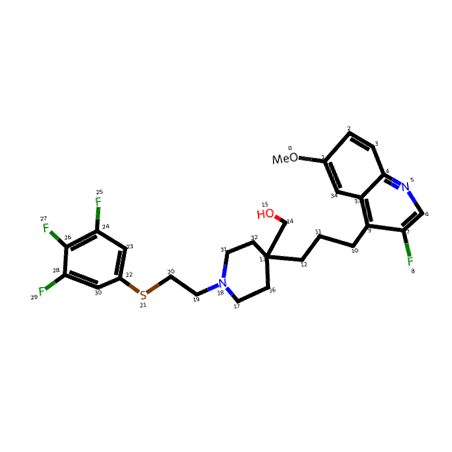 COc1ccc2ncc(F)c(CCCC3(CO)CCN(CCSc4cc(F)c(F)c(F)c4)CC3)c2c1